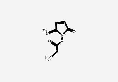 CCC(=O)ON1C(=O)C=CC1=O.[Zn]